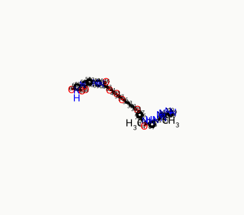 C[C@@H](NC(=O)c1cccc(NCc2nnc(-c3ccncn3)n2C)c1)c1ccc(OCCCCCCOCCOCCOCCC(=O)N2CCN(c3ccc4c(c3)C(=O)N(C3CCC(=O)NC3=O)C4)CC2)cc1